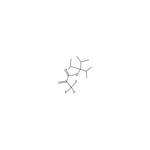 C=C(C(=O)OC(C(C)C)(C(C)C)C(C)C)C(F)(F)F